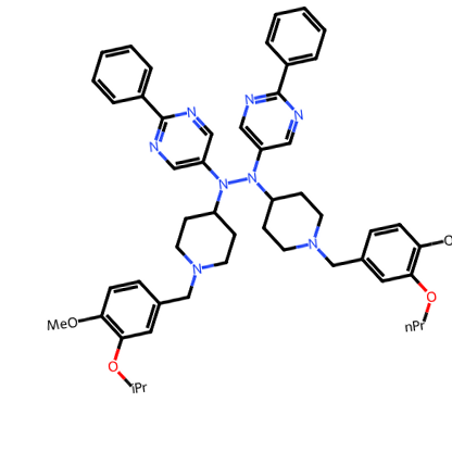 CCCOc1cc(CN2CCC(N(c3cnc(-c4ccccc4)nc3)N(c3cnc(-c4ccccc4)nc3)C3CCN(Cc4ccc(OC)c(OC(C)C)c4)CC3)CC2)ccc1OC